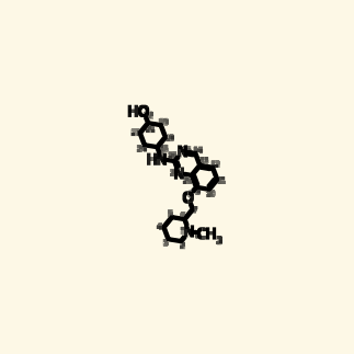 CN1CCCCC1COc1cccc2cnc(NC3CCC(O)CC3)nc12